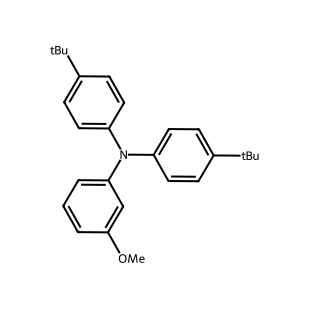 COc1cccc(N(c2ccc(C(C)(C)C)cc2)c2ccc(C(C)(C)C)cc2)c1